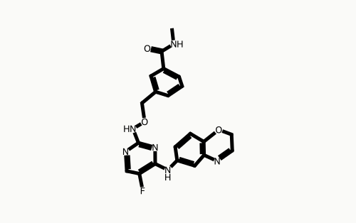 CNC(=O)c1cccc(CONc2ncc(F)c(Nc3ccc4c(c3)N=CCO4)n2)c1